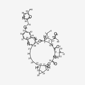 CC[C@@H]1[C@@H]2CN(C(=O)[C@H](C(C)(C)C)NC(=O)O[C@@H]3CC4CC4[C@H]3CCCCCc3nc4ccc(OCc5ncc(C)o5)cc4nc3O2)[C@@H]1C(C)=O